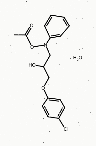 CC(=O)ON(CC(O)COc1ccc(Cl)cc1)c1ccccc1.O